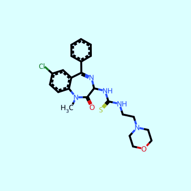 CN1C(=O)C(NC(=S)NCCN2CCOCC2)N=C(c2ccccc2)c2cc(Cl)ccc21